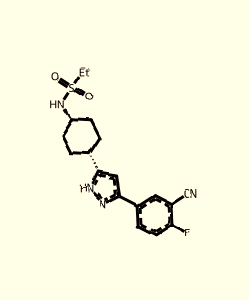 CCS(=O)(=O)N[C@H]1CC[C@H](c2cc(-c3ccc(F)c(C#N)c3)n[nH]2)CC1